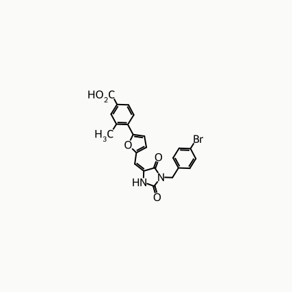 Cc1cc(C(=O)O)ccc1-c1ccc(/C=C2/NC(=O)N(Cc3ccc(Br)cc3)C2=O)o1